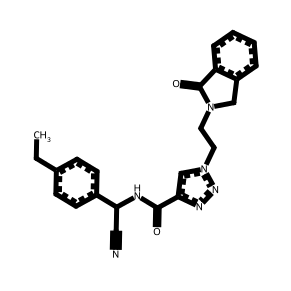 CCc1ccc(C(C#N)NC(=O)c2cn(CCN3Cc4ccccc4C3=O)nn2)cc1